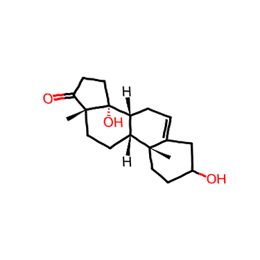 C[C@]12CCC(O)CC1=CC[C@@H]1[C@H]2CC[C@]2(C)C(=O)CC[C@@]12O